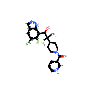 CC(C)(C1CCN(C(=O)c2cccnc2)CC1)C(O)c1c(F)c(Cl)cc2cn[nH]c12